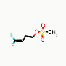 CS(=O)(=O)OCCC=C(F)F